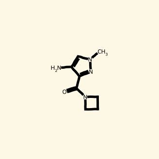 Cn1cc(N)c(C(=O)N2CCC2)n1